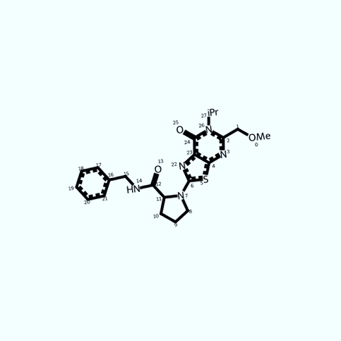 COCc1nc2sc(N3CCCC3C(=O)NCc3ccccc3)nc2c(=O)n1C(C)C